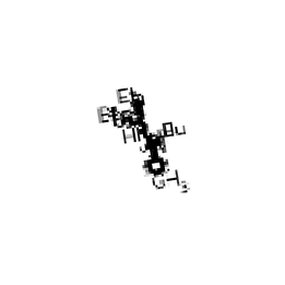 CCOOCC(=CNc1cc(-c2ccc(C)cc2)nn1C(C)(C)C)COOCC